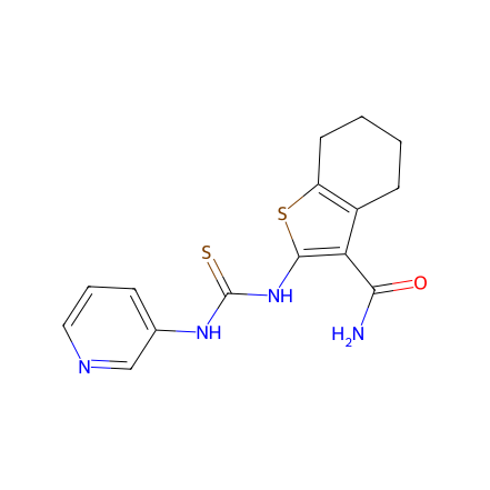 NC(=O)c1c(NC(=S)Nc2cccnc2)sc2c1CCCC2